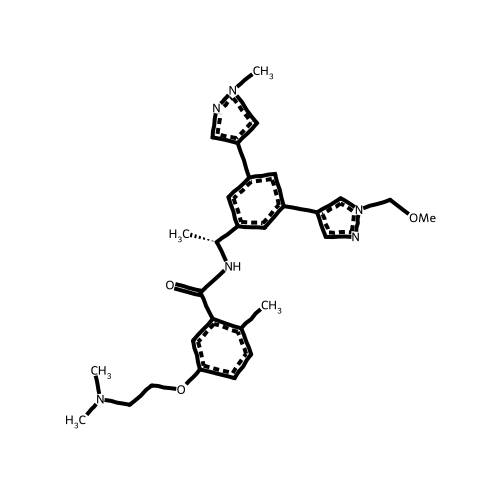 COCn1cc(-c2cc(-c3cnn(C)c3)cc([C@@H](C)NC(=O)c3cc(OCCN(C)C)ccc3C)c2)cn1